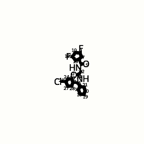 O=C(CNC(=O)c1cc(F)cc(F)c1)NC(c1ccccc1)c1ccc(Cl)cc1